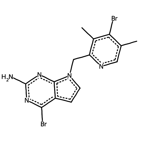 Cc1cnc(Cn2ccc3c(Br)nc(N)nc32)c(C)c1Br